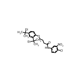 CCC(C)(C)c1ccc(OCCCC(=O)Nc2ccc(Cl)c([N+](=O)[O-])c2)c(C(C)(C)CC)c1